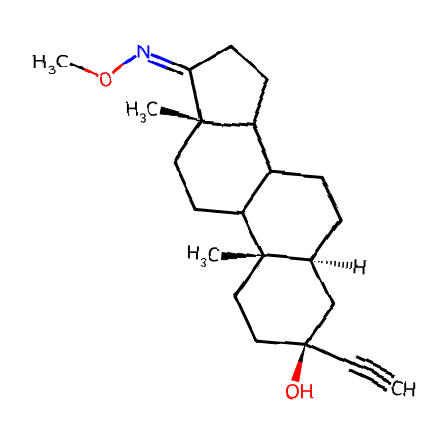 C#C[C@]1(O)CC[C@]2(C)C3CC[C@]4(C)/C(=N\OC)CCC4C3CC[C@H]2C1